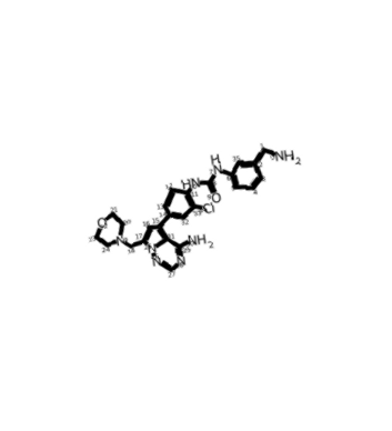 NCc1cccc(NC(=O)Nc2ccc(-c3cc(CN4CCOCC4)n4ncnc(N)c34)cc2Cl)c1